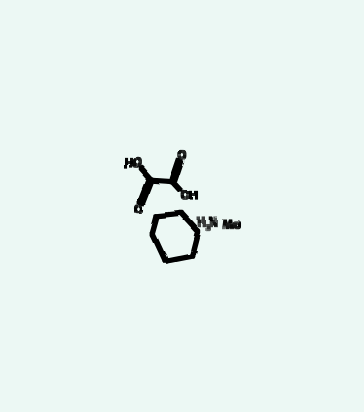 C1CCCCC1.N.O=C(O)C(=O)O.[Mo]